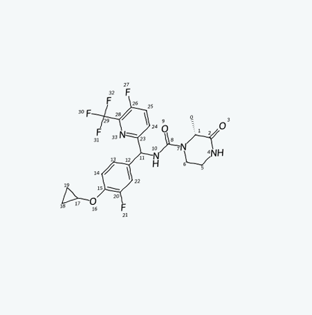 C[C@@H]1C(=O)NCCN1C(=O)NC(c1ccc(OC2CC2)c(F)c1)c1ccc(F)c(C(F)(F)F)n1